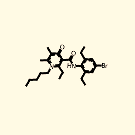 CCCCCn1c(C)c(C)c(=O)c(C(=O)Nc2c(CC)cc(Br)cc2CC)c1CC